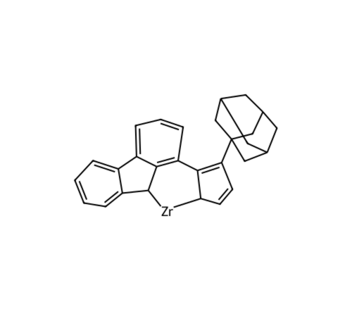 CC1C=CC(C23CC4CC(CC(C4)C2)C3)=C1c1cccc2c1[CH]([Zr])c1ccccc1-2